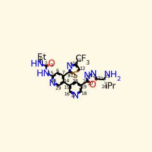 CCNC(=O)Nc1cc(-c2nc(C(F)(F)F)cs2)c(-c2cncc(-c3nnc([C@H](N)C(C)C)o3)c2)cn1